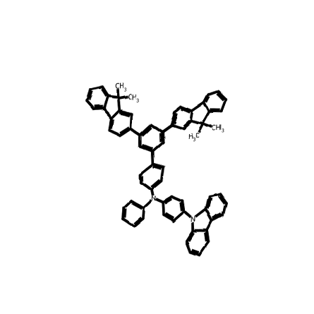 CC1(C)c2ccccc2-c2ccc(-c3cc(-c4ccc(N(c5ccccc5)c5ccc(-n6c7ccccc7c7ccccc76)cc5)cc4)cc(-c4ccc5c(c4)C(C)(C)c4ccccc4-5)c3)cc21